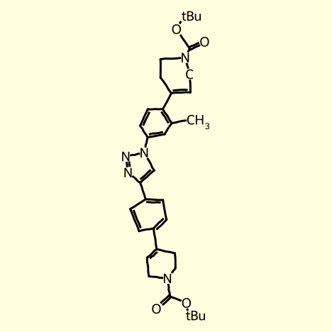 Cc1cc(-n2cc(-c3ccc(C4=CCN(C(=O)OC(C)(C)C)CC4)cc3)nn2)ccc1C1=CCN(C(=O)OC(C)(C)C)CC1